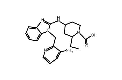 CCC1CC(Nc2nc3ccccc3n2Cc2ncccc2N)CCN1C(=O)O